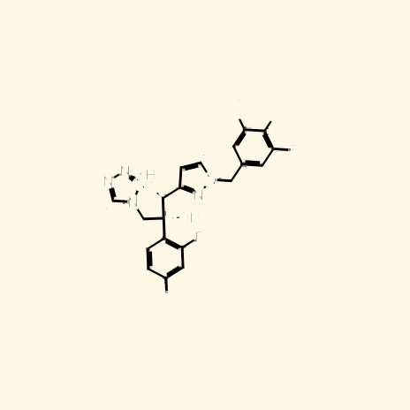 C[C@@H](c1ccn(Cc2cc(F)c(F)c(F)c2)n1)[C@](O)(Cn1cnnn1)c1ccc(F)cc1F